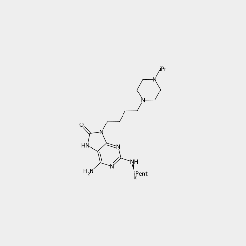 CCC[C@H](C)Nc1nc(N)c2[nH]c(=O)n(CCCCN3CCN(C(C)C)CC3)c2n1